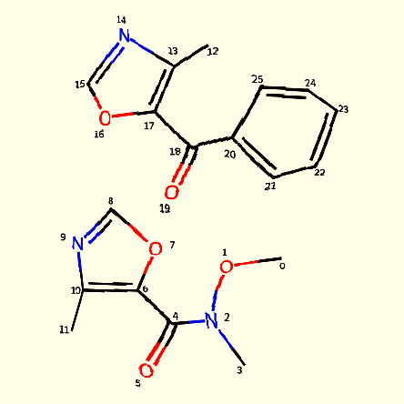 CON(C)C(=O)c1ocnc1C.Cc1ncoc1C(=O)c1ccccc1